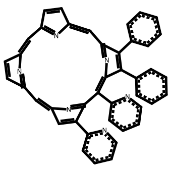 C1=CC2=NC1=CC1=NC(=C(c3ccccn3)C3=NC(=CC4=NC(=C2)C=C4)C=C3c2ccccn2)C(c2ccccc2)=C1c1ccccc1